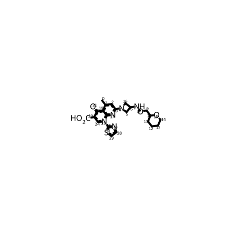 Cc1cc(N2CC(NOCC3CCCCO3)C2)nc2c1c(=O)c(C(=O)O)cn2-c1nccs1